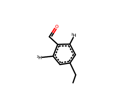 [2H]c1cc(CC)cc([2H])c1C=O